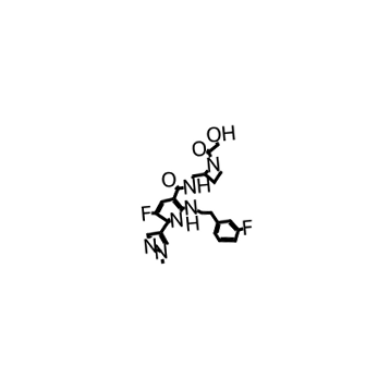 Cn1cc(-c2nc(NCCc3cccc(F)c3)c(C(=O)NCC3CCN3C(=O)CO)cc2F)cn1